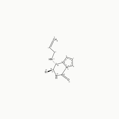 C=CCN[C@@H]1c2cccn2C(=O)N[C@H]1CC